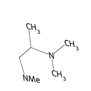 CNCC(C)N(C)C